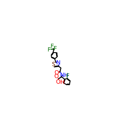 O=C(Cc1csc(-c2ccc(C(F)(F)F)cc2)n1)NC(C(=O)O)c1ccccc1F